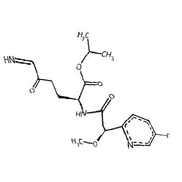 CO[C@@H](C(=O)N[C@@H](CCC(=O)C=N)C(=O)OC(C)C)c1ccc(F)cn1